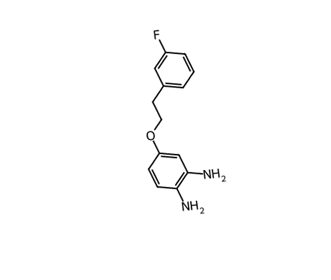 Nc1ccc(OCCc2cccc(F)c2)cc1N